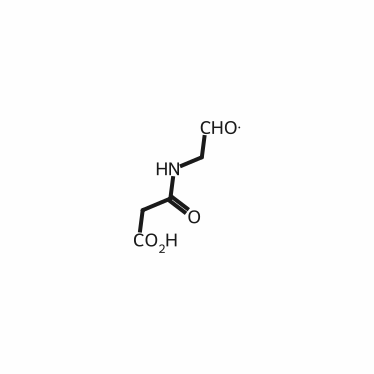 O=[C]CNC(=O)CC(=O)O